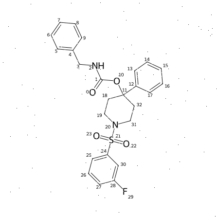 O=C(NCc1ccccc1)OC1(c2ccccc2)CCN(S(=O)(=O)c2cccc(F)c2)CC1